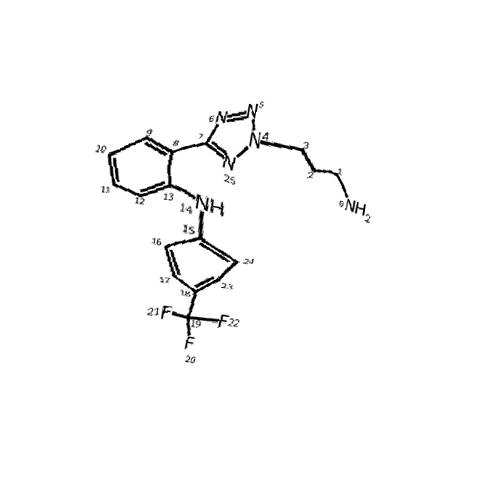 NCCCn1nnc(-c2ccccc2Nc2ccc(C(F)(F)F)cc2)n1